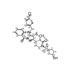 CC1C(=O)N(S(=O)(=O)N2CCC(O)C2)CCC1c1nn(C(=O)c2ccccc2)c(NCc2ccc(Cl)s2)c1F